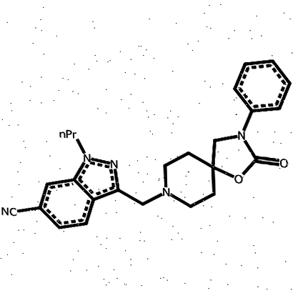 CCCn1nc(CN2CCC3(CC2)CN(c2ccccc2)C(=O)O3)c2ccc(C#N)cc21